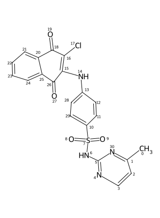 Cc1ccnc(NS(=O)(=O)c2ccc(NC3=C(Cl)C(=O)c4ccccc4C3=O)cc2)n1